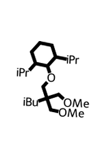 CCC(C)C(COC)(COC)COC1C(C(C)C)CCCC1C(C)C